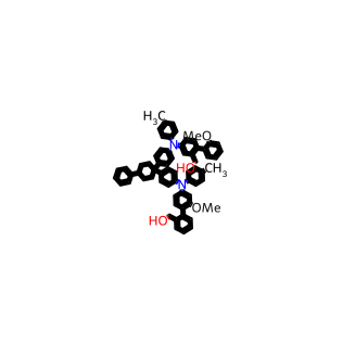 COc1ccccc1-c1ccc(N(c2ccc(C)cc2)c2ccc(C3(c4ccc(N(c5ccc(C)cc5)c5ccc(-c6ccccc6CO)c(OC)c5)cc4)CCC(c4ccccc4)CC3)cc2)cc1CO